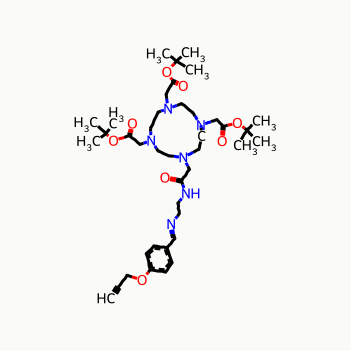 C#CCOc1ccc(/C=N/CCNC(=O)CN2CCN(CC(=O)OC(C)(C)C)CCN(CC(=O)OC(C)(C)C)CCN(CC(=O)OC(C)(C)C)CC2)cc1